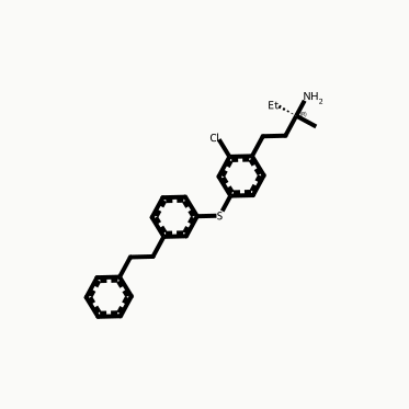 CC[C@@](C)(N)CCc1ccc(Sc2cccc(CCc3ccccc3)c2)cc1Cl